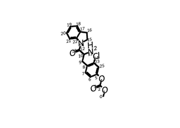 COC(=O)Oc1ccc(CC(N)C(=O)N2CCc3ccccc32)c(Cl)c1